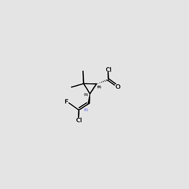 CC1(C)[C@H](/C=C(\F)Cl)[C@H]1C(=O)Cl